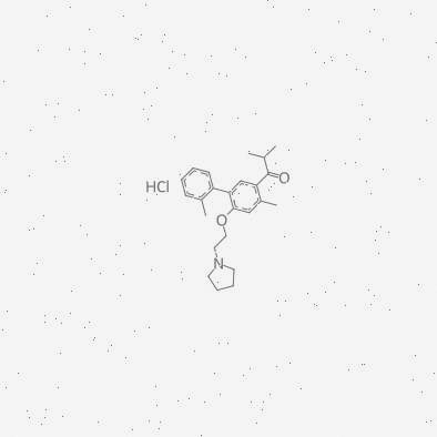 Cc1cc(OCCN2CCCC2)c(-c2ccccc2C)cc1C(=O)C(C)C.Cl